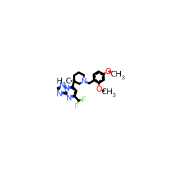 COc1ccc(CN2CCC[C@](C)(c3cc(C(F)F)nc4ncnn34)C2)c(OC)c1